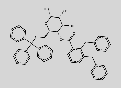 O=C(O[C@H]1[C@H](O)[C@@H](O)[C@@H](O)O[C@@H]1COC(c1ccccc1)(c1ccccc1)c1ccccc1)c1cccc(Cc2ccccc2)c1Cc1ccccc1